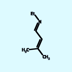 CCN=CC=C(C)C